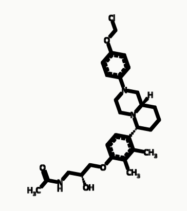 CC(=O)NC[C@@H](O)COc1ccc([C@H]2CCC[C@H]3CN(c4ccc(OCCl)cc4)CCN32)c(C)c1C